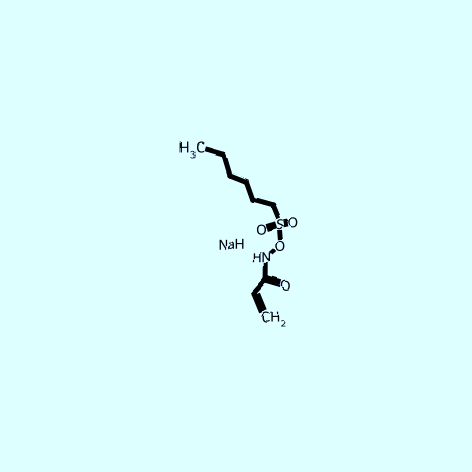 C=CC(=O)NOS(=O)(=O)CCCCCC.[NaH]